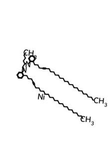 CCCCCCCCCCCCCCCCCCCCCC#CCCCc1ccccc1N=CC(CCCC)=Nc1ccccc1CCCC#CCCCCCCCCCCCCCCCCCCCCC.[Ni]